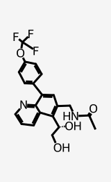 CC(=O)NCc1cc(-c2ccc(OC(F)(F)F)cc2)c2ncccc2c1[C@H](O)CO